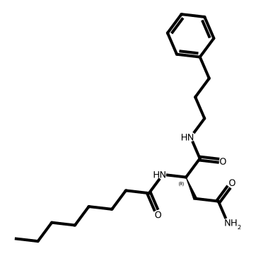 CCCCCCCC(=O)N[C@H](CC(N)=O)C(=O)NCCCc1ccccc1